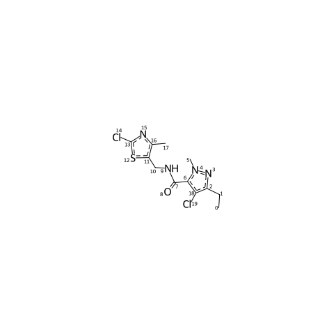 CCc1nn(C)c(C(=O)NCc2sc(Cl)nc2C)c1Cl